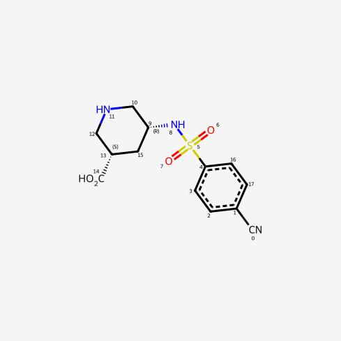 N#Cc1ccc(S(=O)(=O)N[C@H]2CNC[C@@H](C(=O)O)C2)cc1